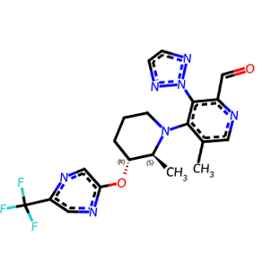 Cc1cnc(C=O)c(-n2nccn2)c1N1CCC[C@@H](Oc2cnc(C(F)(F)F)cn2)[C@@H]1C